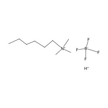 CCCCCC[N+](C)(C)C.F[B-](F)(F)F.[H+]